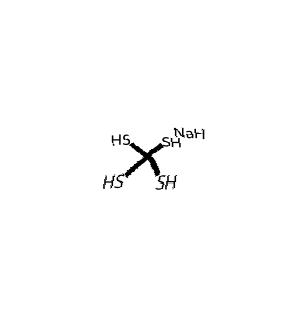 SC(S)(S)S.[NaH]